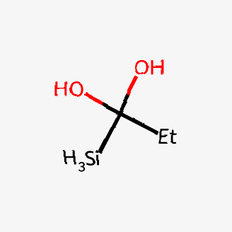 CCC(O)(O)[SiH3]